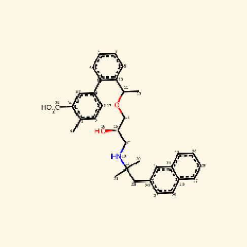 Cc1ccc(-c2ccccc2C(C)OC[C@H](O)CNC(C)(C)Cc2ccc3ccccc3c2)cc1C(=O)O